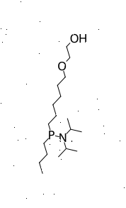 CCCCP(CCCCCCOCCO)N(C(C)C)C(C)C